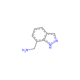 NCc1cccc2cn[nH]c12